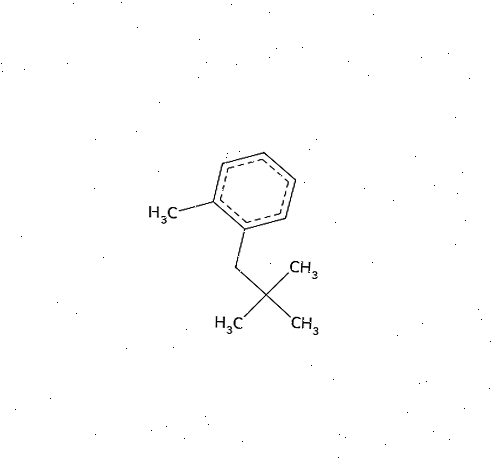 Cc1ccccc1CC(C)(C)C